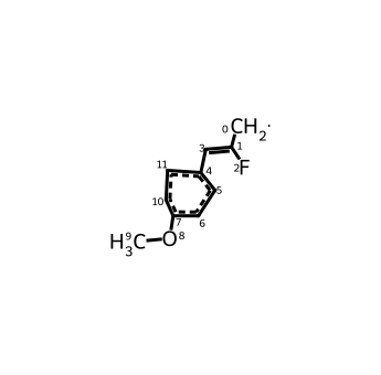 [CH2]C(F)=Cc1ccc(OC)cc1